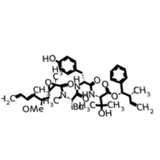 C=C/C=C(\C)[C@@H](C[C@@H]1O[C@@]1(C)C(=O)N(C)[C@H](C(=O)N[C@H](Cc1ccc(O)cc1)C(=O)N[C@H](C(=O)O[C@H](c1ccccc1)[C@H](C)C=C)C(C)(C)O)[C@@H](C)CC)OC